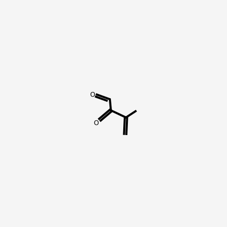 C=C(C)C(=O)C=O